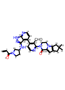 C=CC(=O)N1CCC(Nc2n[nH]c3nccc(-c4ccnc(N5CCn6c(cc7c6CC(C)(C)C7)C5=O)c4C=O)c23)C1